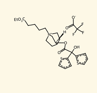 CCOC(=O)CCCC[N+]12CCC(CC1)[C@@H](OC(=O)C(O)(c1cccs1)c1cccs1)C2.O=C([O-])C(F)(F)F